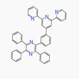 c1ccc(-c2nc(-c3ccccc3)c(-c3cccc(-c4cc(-c5ccccn5)nc(-c5ccccn5)c4)c3)nc2-c2ccccc2)cc1